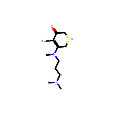 CN(C)CCCN(C)C1=C(C(C)(C)C)C(=O)CSC1